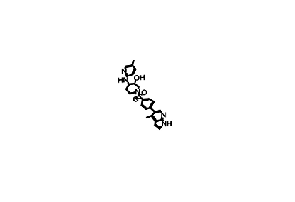 Cc1ccc(N[C@@H]2CCN(S(=O)(=O)c3ccc(-c4cnc5[nH]ccc5c4C)cc3)C[C@@H]2O)nc1